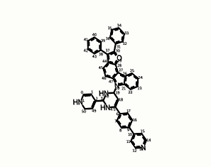 C1=CC(C2NC(c3ccc(-c4ccncc4)cc3)=CC(n3c4ccccc4c4c5oc(-c6ccccc6)c(-c6ccccc6)c5ccc43)N2)=CCN1